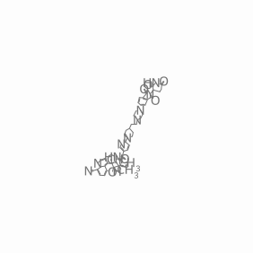 CC1(C)[C@H](NC(=O)c2ccc(N3CCC(CCN4CCN(c5ccc6c(c5)C(=O)N(C5CCC(=O)NC5=O)C6=O)CC4)CC3)nc2)C2(C)c3ccnc4c(C#N)ccc(c34)O[C@@H]12